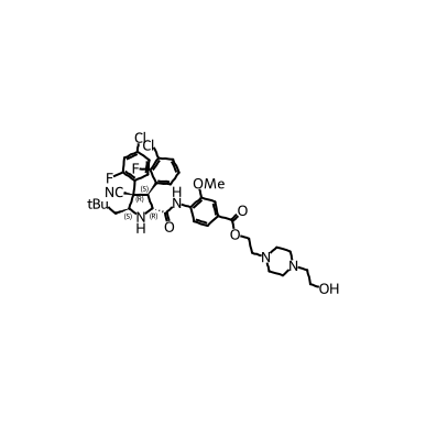 COc1cc(C(=O)OCCN2CCN(CCO)CC2)ccc1NC(=O)[C@@H]1N[C@@H](CC(C)(C)C)[C@](C#N)(c2ccc(Cl)cc2F)[C@H]1c1cccc(Cl)c1F